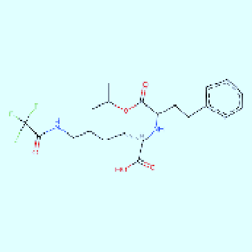 CC(C)OC(=O)C(CCc1ccccc1)N[C@@H](CCCCNC(=O)C(F)(F)F)C(=O)O